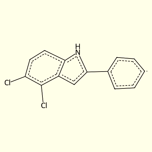 Clc1ccc2[nH]c(-c3cc[c]cc3)cc2c1Cl